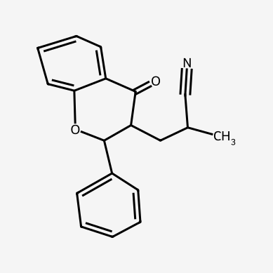 CC(C#N)CC1C(=O)c2ccccc2OC1c1ccccc1